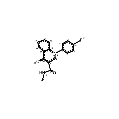 O=C(NF)c1cn(-c2ccc(F)cc2)c2ccccc2c1=O